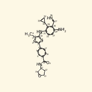 Cn1nc(-c2ccc(C(=O)NC3CCOC3)cc2)nc1Nc1ccc(N)c(C=N)c1C1CC1